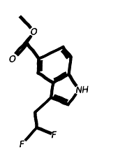 COC(=O)c1ccc2[nH]cc(CC(F)F)c2c1